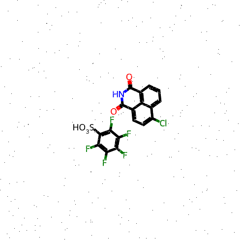 O=C1NC(=O)c2ccc(Cl)c3cccc1c23.O=S(=O)(O)c1c(F)c(F)c(F)c(F)c1F